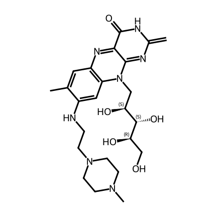 C=c1nc2c(c(=O)[nH]1)=Nc1cc(C)c(NCCN3CCN(C)CC3)cc1N2C[C@H](O)[C@H](O)[C@H](O)CO